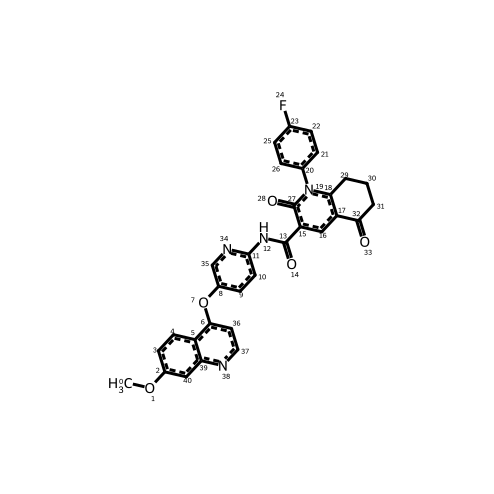 COc1ccc2c(Oc3ccc(NC(=O)c4cc5c(n(-c6ccc(F)cc6)c4=O)CCCC5=O)nc3)ccnc2c1